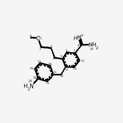 COCCCc1cc(C(=N)N)ccc1[CH]c1cccc(N)c1